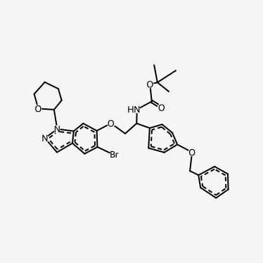 CC(C)(C)OC(=O)NC(COc1cc2c(cnn2C2CCCCO2)cc1Br)c1ccc(OCc2ccccc2)cc1